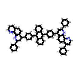 c1ccc(-c2cc(-c3ccc(-c4c5ccccc5c(-c5ccc(-c6cc(-c7ccccc7)nc7c6ccc6c(-c8ccccc8)ccnc67)cc5)c5ccccc45)cc3)c3ccc4cccnc4c3n2)cc1